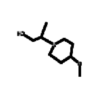 CO[C]1CCN(C(C)CO)CC1